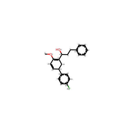 COC1=C(C(O)CCc2ccccc2)C[C](c2ccc(F)cc2)C=C1